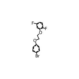 Fc1ccc(F)c(OCCOc2ccc(Br)cc2)c1